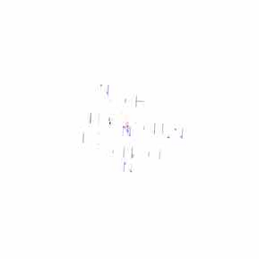 CC(C)(C#N)ON(C(C#N)C(C)(C)C#N)C(C)(C)C